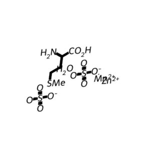 CSCCC(N)C(=O)O.O.O=S(=O)([O-])[O-].O=S(=O)([O-])[O-].[Mn+2].[Zn+2]